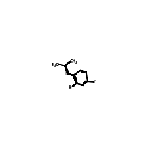 CC(C)=Nc1ccc(F)cc1Br